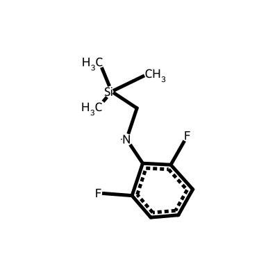 C[Si](C)(C)C[N]c1c(F)cccc1F